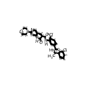 CC(NC(=O)c1ccc(Cl)c(NC(=O)c2cc3cnc(N4CCOCC4)nc3[nH]c2=O)c1)c1cccc(Cl)c1